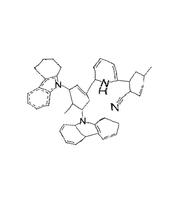 CC1C=CC(C#N)C(C2=CC=CC(C3=CC(n4c5c(c6ccccc64)CCCC5)C(C)C(N4C5=C(C=CCC5)C5C=CC=CC54)C3)N2)C1